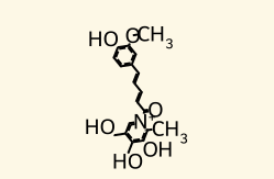 COc1cc(C=CC=CC(=O)[n+]2cc(CO)c(CO)c(O)c2C)ccc1O